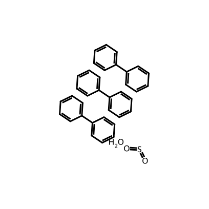 O.O=S=O.c1ccc(-c2ccccc2)cc1.c1ccc(-c2ccccc2)cc1.c1ccc(-c2ccccc2)cc1